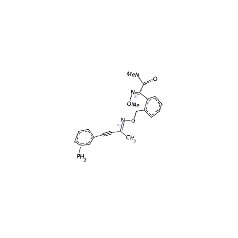 CNC(=O)/C(=N/OC)c1ccccc1CO/N=C(\C)C#Cc1cccc(P)c1